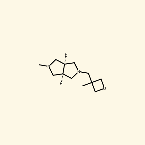 CN1C[C@@H]2CN(CC3(C)COC3)C[C@@H]2C1